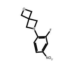 O=[N+]([O-])c1ccc(N2CC3(COC3)C2)c(F)c1